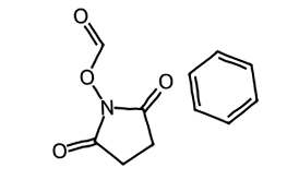 O=CON1C(=O)CCC1=O.c1ccccc1